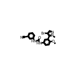 COc1ccc(NC(=O)Nc2cccc(C#N)c2)cc1-c1c(Br)cnn1C